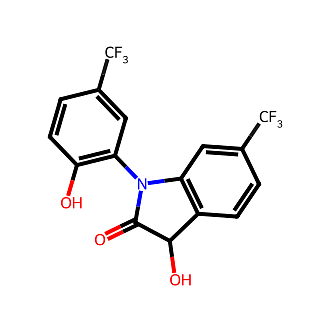 O=C1C(O)c2ccc(C(F)(F)F)cc2N1c1cc(C(F)(F)F)ccc1O